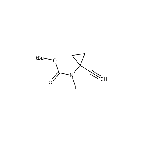 C#CC1(N(I)C(=O)OC(C)(C)C)CC1